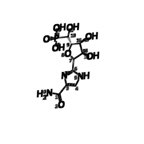 NC(=O)c1c[nH]c(C2O[C@H](C(O)P(=O)(O)O)[C@@H](O)[C@H]2O)n1